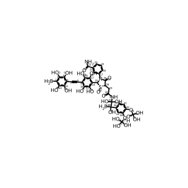 Bc1c(O)c(O)c(C#Cc2c(O)c(O)c(C3N(c4cccc(C(N)=O)c4)C(=O)C(CC(=O)NC(O)(O)C(B)(O)c4ccc(OC(O)(O)O)c(OC(O)(O)O)c4)[S+]3[O-])c(O)c2O)c(O)c1O